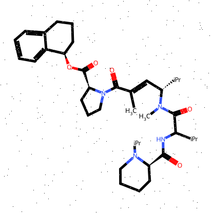 C/C(=C\[C@H](C(C)C)N(C)C(=O)C(NC(=O)[C@H]1CCCCN1C(C)C)C(C)C)C(=O)N1CCC[C@H]1C(=O)O[C@@H]1CCCc2ccccc21